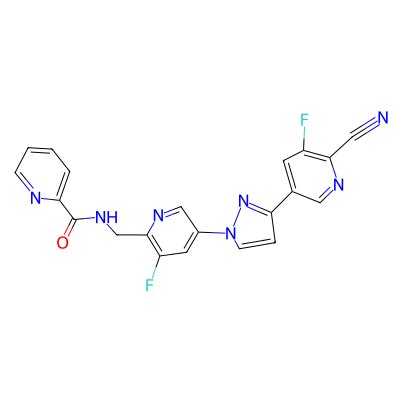 N#Cc1ncc(-c2ccn(-c3cnc(CNC(=O)c4ccccn4)c(F)c3)n2)cc1F